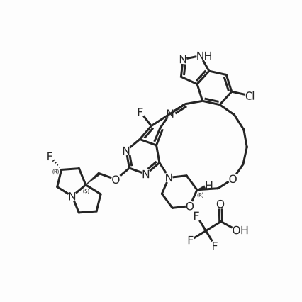 Fc1c2ncc3c(nc(OC[C@@]45CCCN4C[C@H](F)C5)nc13)N1CCO[C@@H](COCCCCc3c(Cl)cc4[nH]ncc4c3-2)C1.O=C(O)C(F)(F)F